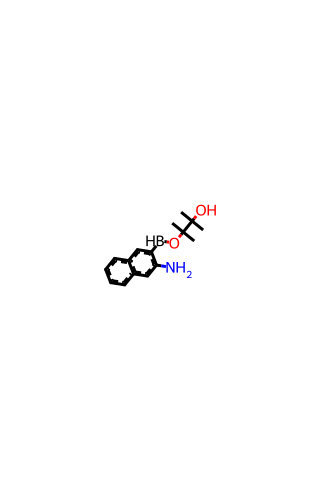 CC(C)(O)C(C)(C)OBc1cc2ccccc2cc1N